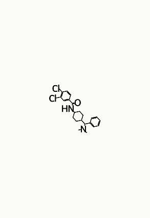 CN(C)C(c1ccccc1)C1CCC(NC(=O)c2ccc(Cl)c(Cl)c2)CC1